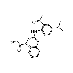 CC(=O)c1cc(N(C)C)ccc1Nc1cc(C(=O)C=O)c2ncccc2c1